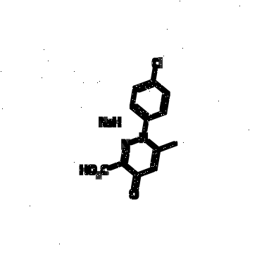 Cc1cc(=O)c(C(=O)O)nn1-c1ccc(Cl)cc1.[NaH]